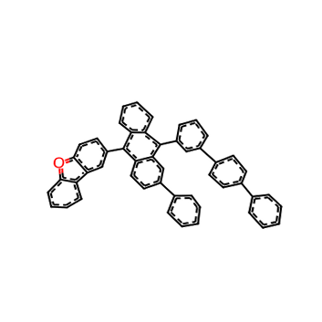 c1ccc(-c2ccc(-c3cccc(-c4c5ccccc5c(-c5ccc6oc7ccccc7c6c5)c5ccc(-c6ccccc6)cc45)c3)cc2)cc1